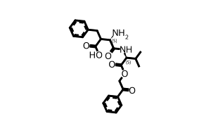 CC(C)[C@H](NC(=O)[C@@H](N)C(Cc1ccccc1)C(=O)O)C(=O)OCC(=O)c1ccccc1